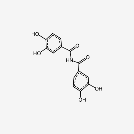 O=C(NC(=O)c1ccc(O)c(O)c1)c1ccc(O)c(O)c1